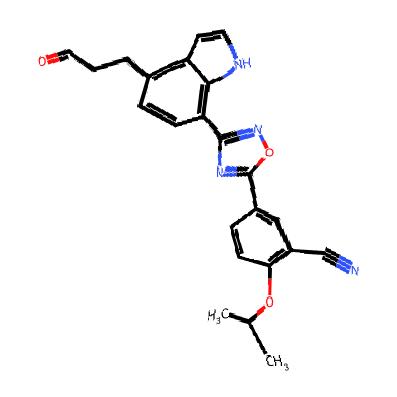 CC(C)Oc1ccc(-c2nc(-c3ccc(CCC=O)c4cc[nH]c34)no2)cc1C#N